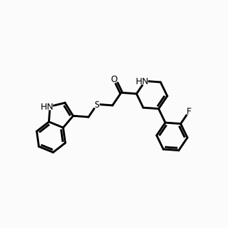 O=C(CSCc1c[nH]c2ccccc12)C1CC(c2ccccc2F)=CCN1